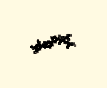 COc1cc(OC)c(-c2cn3ccc(N4CCC(NC(=O)[C@H](CCC(N)=O)NC(=O)O)C4)cc3n2)cc1Cl